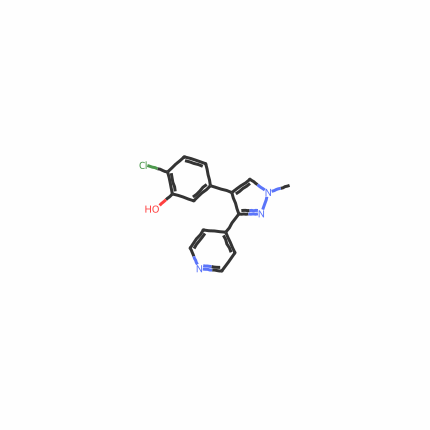 Cn1cc(-c2ccc(Cl)c(O)c2)c(-c2ccncc2)n1